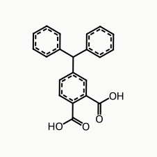 O=C(O)c1ccc(C(c2ccccc2)c2ccccc2)cc1C(=O)O